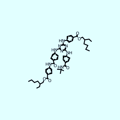 CCCCC(CC)COC(=O)c1ccc(NC(=O)c2ccc(Nc3nc(Nc4ccc(C(=O)NC(C)(C)C)cc4)nc(Nc4ccc(C(=O)OCC(CC)CCCC)cc4)n3)cc2)cc1